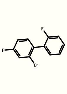 Fc1ccc(-c2ccccc2F)c(Br)c1